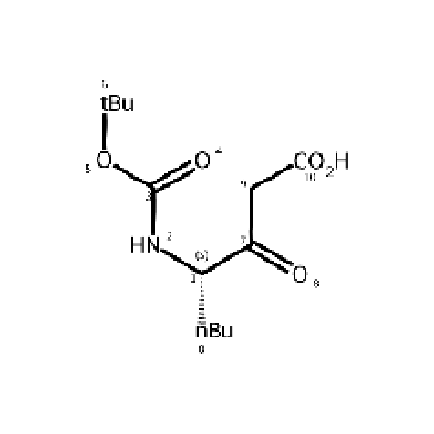 CCCC[C@H](NC(=O)OC(C)(C)C)C(=O)CC(=O)O